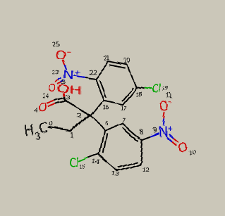 CCC(C(=O)O)(c1cc([N+](=O)[O-])ccc1Cl)c1cc(Cl)ccc1[N+](=O)[O-]